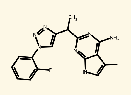 CC(c1cn(-c2ccccc2F)nn1)c1nc(N)c2c(I)c[nH]c2n1